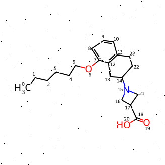 CCCCCCOc1cccc2c1CC(N1CC(C(=O)O)C1)CC2